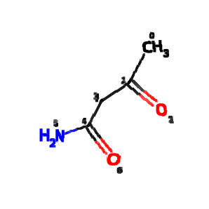 CC(=O)[CH]C(N)=O